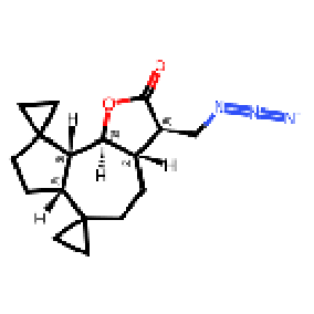 [N-]=[N+]=NC[C@@H]1C(=O)O[C@H]2[C@H]1CCC1(CC1)[C@@H]1CCC3(CC3)[C@H]21